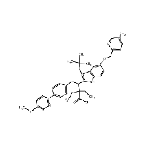 CCC(CC)(C(=O)O)C(Cc1ccc(-c2ccc(OC)nn2)cc1)c1[nH]c2ccc(OCc3cnc(C)cn3)cc2c1SC(C)(C)C